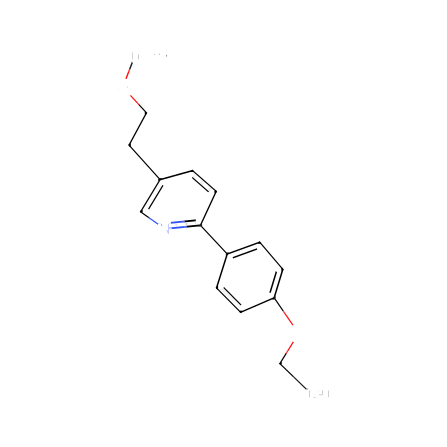 CCCCCCOCCc1ccc(-c2ccc(OCC(C)CC)cc2)nc1